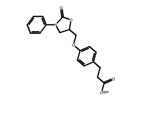 COC(=O)CCc1ccc(OCC2CN(c3ccccc3)C(=O)O2)cc1